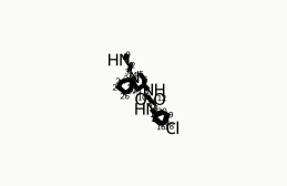 CNCCN1CCC(NC(=O)C(=O)Nc2ccc(Cl)cc2)CC12CCCCC2